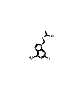 CC(O)OCn1cnc2c(N)nc(Cl)nc21